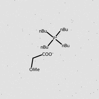 CCCC[P+](CCCC)(CCCC)CCCC.COCC(=O)[O-]